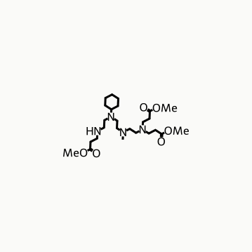 COC(=O)CCNCCN(CCN(C)CCN(CCC(=O)OC)CCC(=O)OC)C1CCCCC1